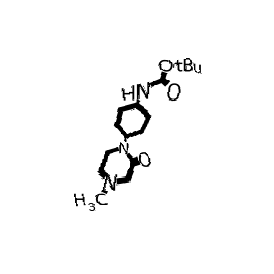 CN1CCN([C@H]2CC[C@H](NC(=O)OC(C)(C)C)CC2)C(=O)C1